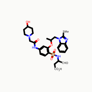 CSc1nc2ccccc2n1CC(C)Oc1cc(NC(=O)CN2CCC(O)CC2)ccc1S(=O)(=O)NC(C=O)CC(=O)O